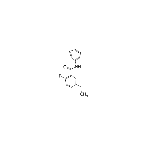 CCc1ccc(F)c(C(=O)Nc2ccccc2)c1